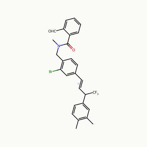 Cc1ccc(C(/C=C/c2ccc(CN(C)C(=O)c3ccccc3C=O)c(Br)c2)C(F)(F)F)cc1C